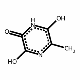 Cc1nc(O)c(=O)[nH]c1O